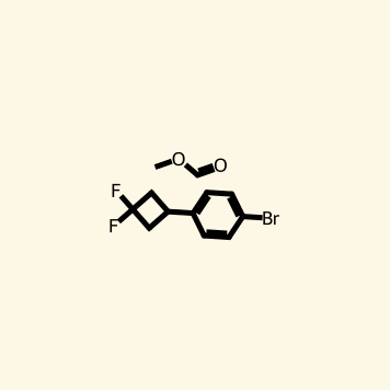 COC=O.FC1(F)CC(c2ccc(Br)cc2)C1